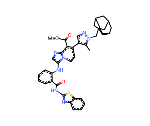 COC(=O)c1c(-c2cnn(CC34CC5CC(CC(C5)C3)C4)c2C)ccn2c(Nc3ccccc3C(=O)Nc3nc4ccccc4s3)cnc12